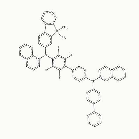 CC1(C)c2ccccc2-c2ccc(N(c3c(F)c(F)c(-c4ccc(N(c5ccc(-c6ccccc6)cc5)c5ccc6ccccc6c5)cc4)c(F)c3F)c3cccc4ccccc34)cc21